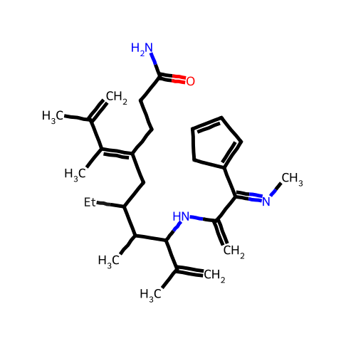 C=C(NC(C(=C)C)C(C)C(CC)C/C(CCC(N)=O)=C(\C)C(=C)C)/C(=N/C)C1=CC=CC1